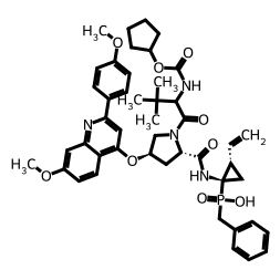 C=C[C@@H]1C[C@]1(NC(=O)[C@@H]1C[C@@H](Oc2cc(-c3ccc(OC)cc3)nc3cc(OC)ccc23)CN1C(=O)C(NC(=O)OC1CCCC1)C(C)(C)C)P(=O)(O)Cc1ccccc1